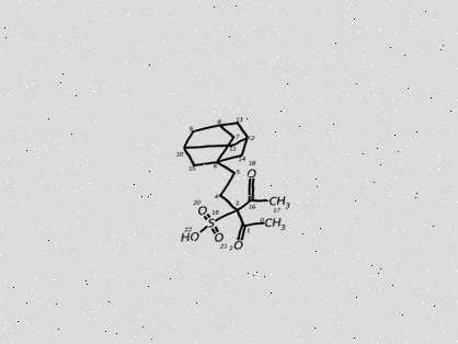 CC(=O)C(CCC12CC3CC(CC(C3)C1)C2)(C(C)=O)S(=O)(=O)O